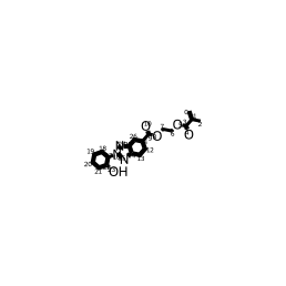 C=C(C)C(=O)OCCOC(=O)c1ccc2nn(-c3ccccc3O)nc2c1